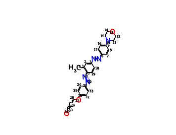 Cc1cc(/N=N/c2ccc(N3CCOCC3)cc2)ccc1/N=N/c1ccc(OC=C=C=O)cc1